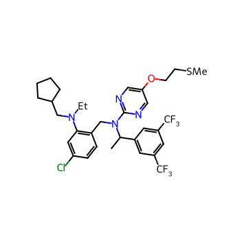 CCN(CC1CCCC1)c1cc(Cl)ccc1CN(c1ncc(OCCSC)cn1)C(C)c1cc(C(F)(F)F)cc(C(F)(F)F)c1